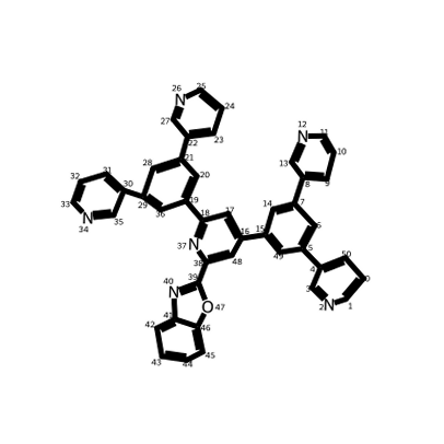 c1cncc(-c2cc(-c3cccnc3)cc(-c3cc(-c4cc(-c5cccnc5)cc(-c5cccnc5)c4)nc(-c4nc5ccccc5o4)c3)c2)c1